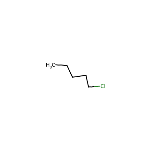 CC[CH]CCCl